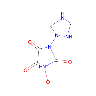 O=C1C(=O)[NH+]([O-])C(=O)N1N1CNCN1